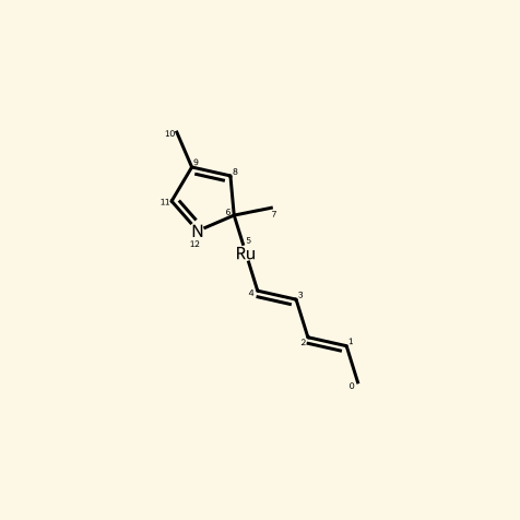 CC=CC=[CH][Ru][C]1(C)C=C(C)C=N1